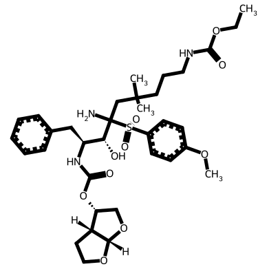 CCOC(=O)NCCCC(C)(C)CC(N)([C@H](O)[C@H](Cc1ccccc1)NC(=O)O[C@@H]1CO[C@@H]2OCC[C@@H]21)S(=O)(=O)c1ccc(OC)cc1